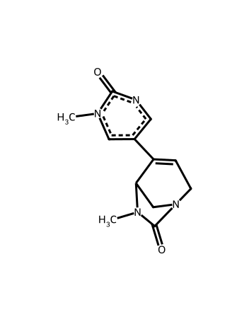 CN1C(=O)N2CC=C(c3cnc(=O)n(C)c3)C1C2